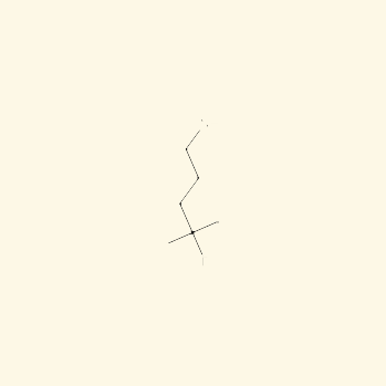 [NH]CCCC(F)(F)F